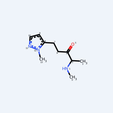 CNC(C)C(=O)CCc1ccnn1C